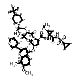 C=C[C@@H]1CC1(NC(=O)[C@@H]1C[C@@H](Oc2cc(-c3cccnc3)nc3c(C)c(OC)ccc23)CN1C(=O)[C@@H](CC(=O)N1CCC(C(F)(F)F)CC1)C(C)(C)C)C(=O)NS(=O)(=O)C1CC1